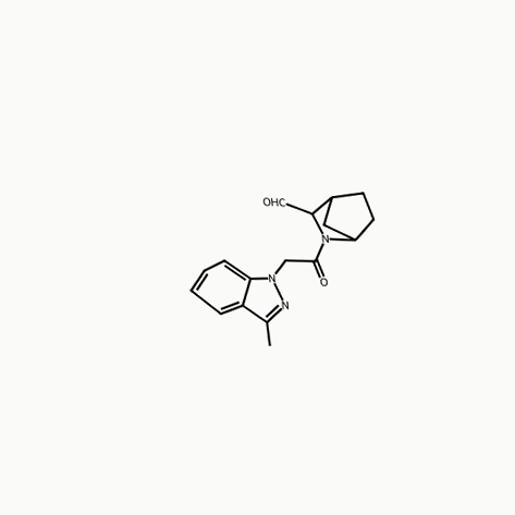 Cc1nn(CC(=O)N2C3CCC(C3)C2C=O)c2ccccc12